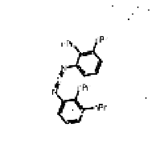 CCCc1cccc(N=C=Nc2cccc(CCC)c2CCC)c1CCC